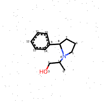 CC(CO)N1CCCC1c1ccccc1